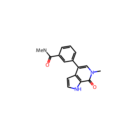 CNC(=O)c1cccc(-c2cn(C)c(=O)c3[nH]ccc23)c1